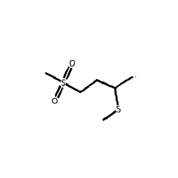 [CH2]C(CCS(C)(=O)=O)SC